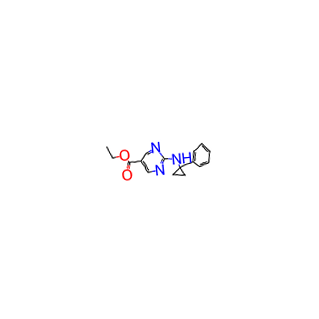 CCOC(=O)c1cnc(NC2(c3ccccc3)CC2)nc1